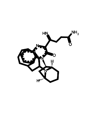 N=C(CCC(N)=O)c1nc2ccccc2n([C@@H]2C[C@@H]3CCC[C@H]2N3C2CC3CCCCC(C3)C2)c1=O